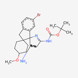 COC1CCC2(CC1)Cc1ccc(Br)cc1C21N=C(NC(=O)OC(C)(C)C)c2ccc(N)cc21